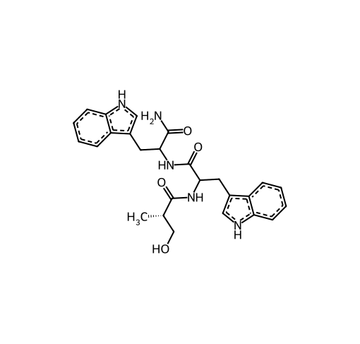 C[C@@H](CO)C(=O)NC(Cc1c[nH]c2ccccc12)C(=O)NC(Cc1c[nH]c2ccccc12)C(N)=O